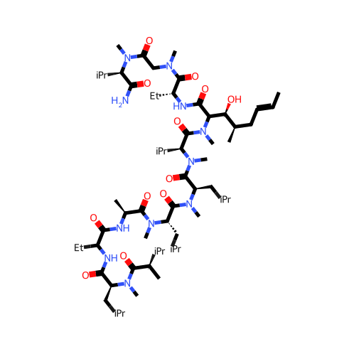 C/C=C/C[C@@H](C)[C@H](O)C(C(=O)N[C@H](CC)C(=O)N(C)CC(=O)N(C)[C@@H](C(N)=O)C(C)C)N(C)C(=O)[C@H](C(C)C)N(C)C(=O)[C@@H](CC(C)C)N(C)C(=O)[C@H](CC(C)C)N(C)C(=O)[C@H](C)NC(=O)C(CC)NC(=O)[C@H](CC(C)C)N(C)C(=O)[C@H](C)C(C)C